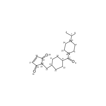 CC(C)N1CCN(C(=O)C2CCC(CN3C(=O)C=CC3=O)CC2)CC1